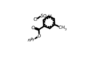 CCCOC(=O)c1cccc(C)c1.O=S(=O)(O)Cl